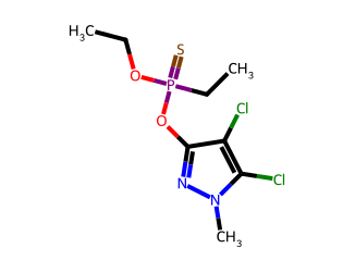 CCOP(=S)(CC)Oc1nn(C)c(Cl)c1Cl